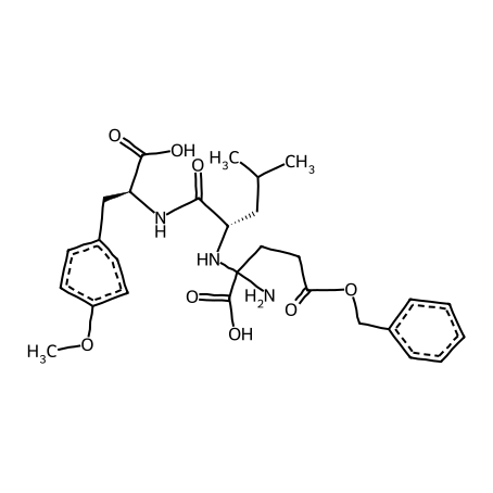 COc1ccc(C[C@H](NC(=O)[C@H](CC(C)C)NC(N)(CCC(=O)OCc2ccccc2)C(=O)O)C(=O)O)cc1